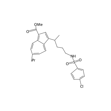 COC(=O)c1cc(C(C)CCCNS(=O)(=O)c2ccc(Cl)cc2)c2ccc(C(C)C)ccc1-2